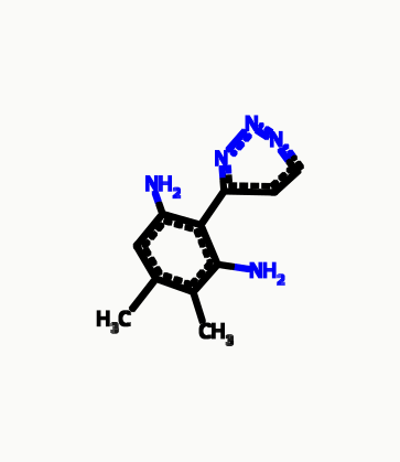 Cc1cc(N)c(-c2ccnnn2)c(N)c1C